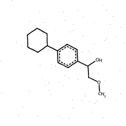 COCC(O)c1ccc(C2CCCCC2)cc1